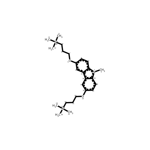 Cn1c2ccc(OCCC[N+](C)(C)C)cc2c2cc(OCCC[N+](C)(C)C)ccc21